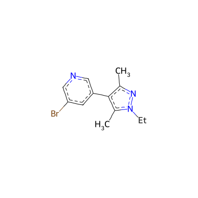 CCn1nc(C)c(-c2cncc(Br)c2)c1C